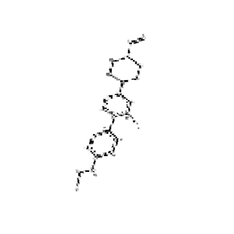 C=CC1CCC(c2ccc(-c3ccc(OCF)cc3)c(F)c2)CC1